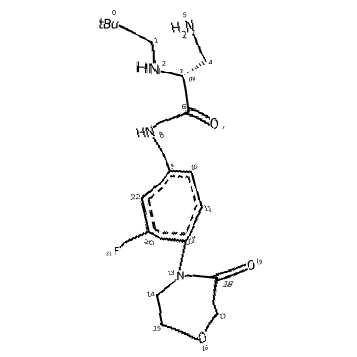 CC(C)(C)CN[C@H](CN)C(=O)Nc1ccc(N2CCOCC2=O)c(F)c1